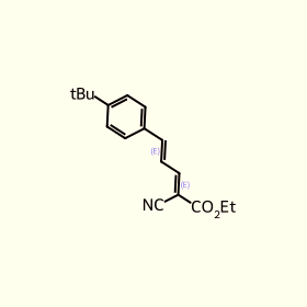 CCOC(=O)/C(C#N)=C/C=C/c1ccc(C(C)(C)C)cc1